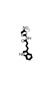 O=C(CCCc1c[nH]c2ccccc12)Nc1ncc([N+](=O)[O-])s1